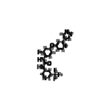 O=C(Nc1cncc(C(F)(F)F)c1)Nc1ccc(Oc2ccnc(-n3cnnc3)c2)cc1F